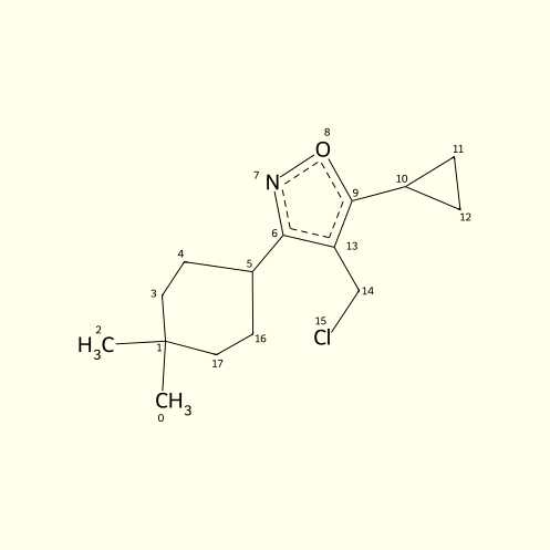 CC1(C)CCC(c2noc(C3CC3)c2CCl)CC1